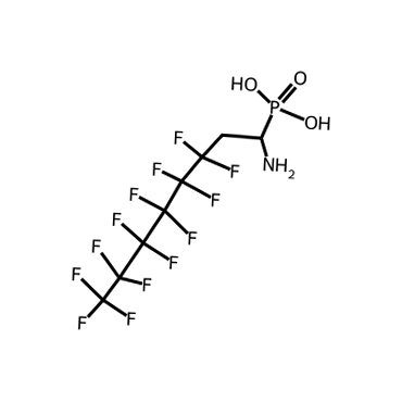 NC(CC(F)(F)C(F)(F)C(F)(F)C(F)(F)C(F)(F)C(F)(F)F)P(=O)(O)O